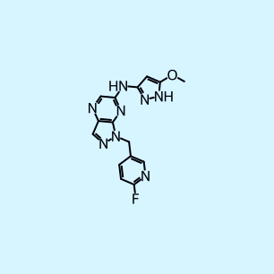 COc1cc(Nc2cnc3cnn(Cc4ccc(F)nc4)c3n2)n[nH]1